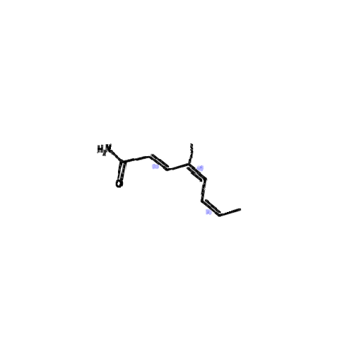 C\C=C/C=C(C)\C=C\C(N)=O